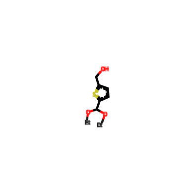 CCOC(OCC)c1ccc(CO)s1